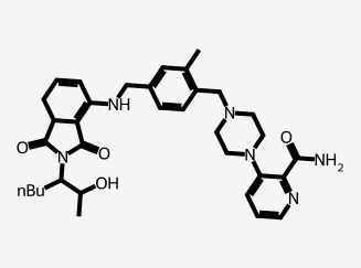 CCCCC(C(C)O)N1C(=O)C2=C(NCc3ccc(CN4CCN(c5cccnc5C(N)=O)CC4)c(C)c3)C=CCC2C1=O